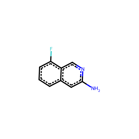 Nc1cc2cccc(F)c2cn1